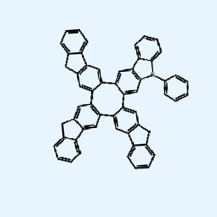 c1ccc(-n2c3ccccc3c3cc4c(cc32)-c2cc3c(cc2-c2cc5c(cc2-c2cc6c(cc2-4)-c2ccccc2C6)Cc2ccccc2-5)-c2ccccc2C3)cc1